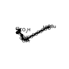 CC(NC(=O)C(NC(=O)CCOCCOCCOCCOCCOCCOCCOCCOCCNC(=O)OC(C)(C)C)C(C)C)C(=O)Nc1ccc(COc2cc3c(c4ccccc24)[C@H](CCl)CN3C(=O)O)cc1